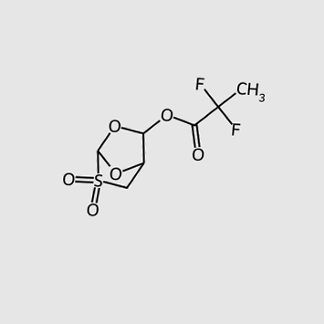 CC(F)(F)C(=O)OC1OC2OC1CS2(=O)=O